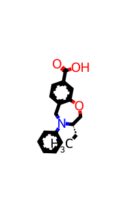 CC[C@H]1COc2cc(C(=O)O)ccc2CN1c1ccccc1